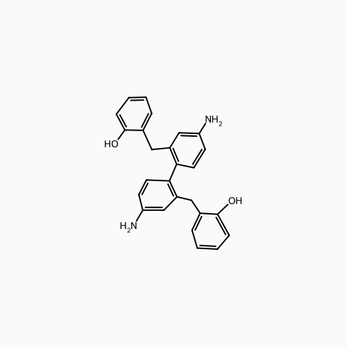 Nc1ccc(-c2ccc(N)cc2Cc2ccccc2O)c(Cc2ccccc2O)c1